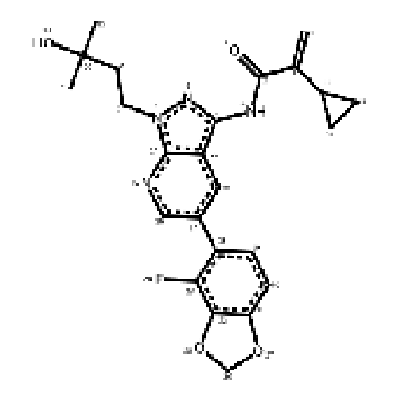 C=C(C(=O)Nc1nn(CCC(C)(C)O)c2ncc(-c3ccc4c(c3F)OCO4)cc12)C1CC1